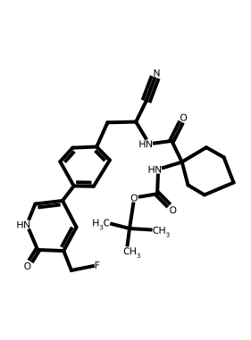 CC(C)(C)OC(=O)NC1(C(=O)NC(C#N)Cc2ccc(-c3c[nH]c(=O)c(CF)c3)cc2)CCCCC1